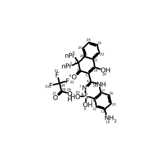 CCCC1(CCC)C(=O)C(C2=NS(O)(O)c3cc(N)ccc3N2)=C(O)c2ccccc21.O=C(O)C(F)(F)F